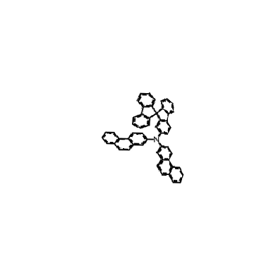 c1ccc2c(c1)-c1ccccc1C21c2ccccc2-c2ccc(N(c3ccc4c(ccc5ccccc54)c3)c3ccc4c(ccc5ccccc54)c3)cc21